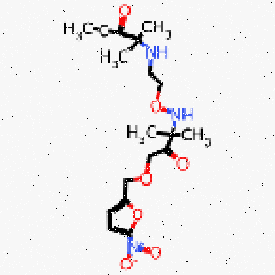 CCC(=O)C(C)(C)NCCONC(C)(C)C(=O)COCc1ccc([N+](=O)[O-])o1